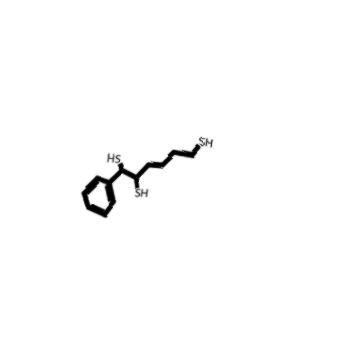 SCCCCC(S)C(S)c1ccccc1